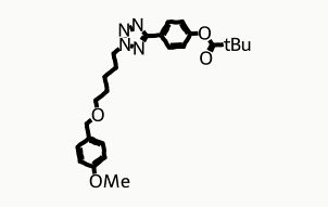 COc1ccc(COCCCCCn2nnc(-c3ccc(OC(=O)C(C)(C)C)cc3)n2)cc1